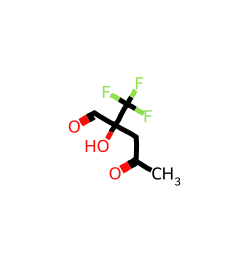 CC(=O)CC(O)(C=O)C(F)(F)F